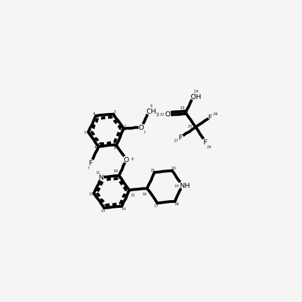 COc1cccc(F)c1Oc1ncccc1C1CCNCC1.O=C(O)C(F)(F)F